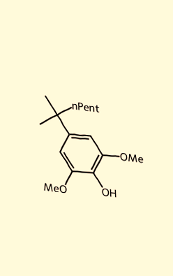 CCCCCC(C)(C)c1cc(OC)c(O)c(OC)c1